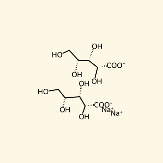 O=C([O-])[C@H](O)[C@@H](O)[C@H](O)CO.O=C([O-])[C@H](O)[C@@H](O)[C@H](O)CO.[Na+].[Na+]